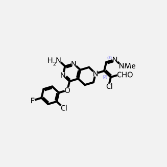 CN/N=C\C(=C(\Cl)C=O)N1CCc2c(nc(N)nc2Oc2ccc(F)cc2Cl)C1